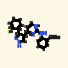 COc1ccccc1Nc1nccc(-c2c[nH]nc2-c2ccccc2F)n1